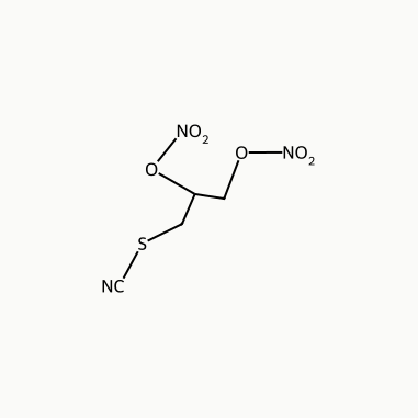 N#CSCC(CO[N+](=O)[O-])O[N+](=O)[O-]